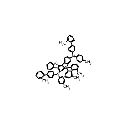 Cc1ccc(N(c2ccc(-c3ccccc3C)cc2)c2ccc3c(c2)[Si](c2cccc(C)c2)(c2cccc(C)c2)c2cc(N(c4ccc(C)cc4)c4ccc(-c5ccccc5C)cc4)c4c(oc5ccccc54)c2-3)cc1